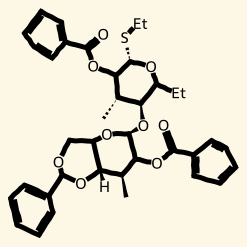 CCS[C@@H]1OC(CC)[C@@H](O[C@@H]2OC3COC(c4ccccc4)O[C@H]3[C@H](C)C2OC(=O)c2ccccc2)[C@H](C)C1OC(=O)c1ccccc1